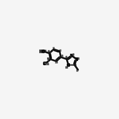 Cc1nnc(-c2ccc(O)c(Cl)c2)o1